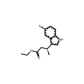 CCOC(=O)C[C@H](C)c1c[nH]c2ccc(F)cc12